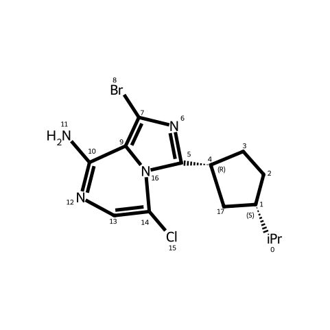 CC(C)[C@H]1CC[C@@H](c2nc(Br)c3c(N)ncc(Cl)n23)C1